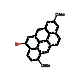 COc1cc2ccc3cc4c(OC)ccc5c(Br)cc6cc(c1)c2c3c6c54